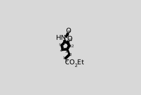 CCOC(=O)C=Cc1ccc2[nH]c(=O)oc2c1